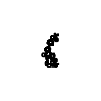 C=C(C)C(=O)Oc1ccc(-c2ccc(C(=O)OCCOC=O)c(-c3ccc(OC(=O)C(=C)C)cc3)c2)cc1